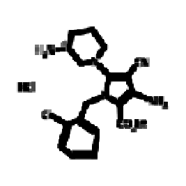 CCOC(=O)c1c(N)c(C#N)c(N2CCC[C@@H](N)C2)n1Cc1ccccc1Cl.Cl